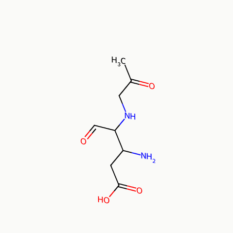 CC(=O)CNC(C=O)C(N)CC(=O)O